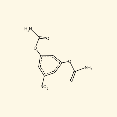 NC(=O)Oc1cc(OC(N)=O)cc([N+](=O)[O-])c1